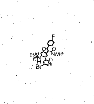 CCS(=O)(=O)Nc1cc2oc(-c3ccc(F)cc3)c(C(=O)NC)c2cc1-c1cc(Br)cn(C)c1=O